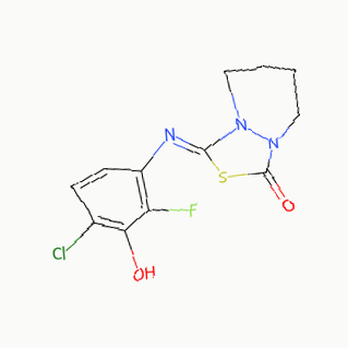 O=c1sc(=Nc2ccc(Cl)c(O)c2F)n2n1CCCC2